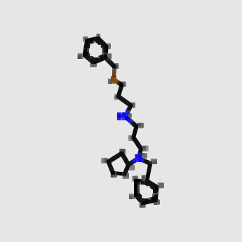 c1ccc(CSCCCNCCCN(Cc2ccccc2)C2CCCC2)cc1